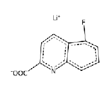 O=C([O-])c1ccc2c(F)cccc2n1.[Li+]